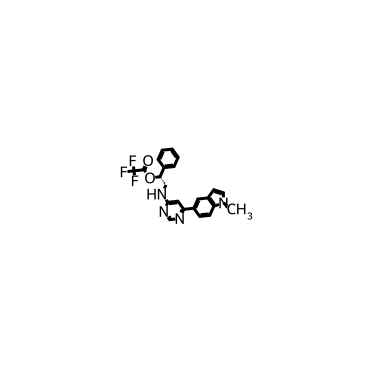 Cn1ccc2cc(-c3cc(NC[C@H](OC(=O)C(F)(F)F)c4ccccc4)ncn3)ccc21